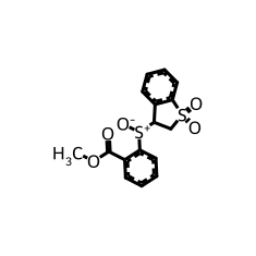 COC(=O)c1ccccc1[S+]([O-])C1CS(=O)(=O)c2ccccc21